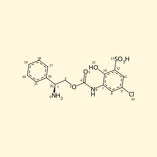 N[C@H](COC(=O)Nc1cc(Cl)cc(S(=O)(=O)O)c1O)c1ccccc1